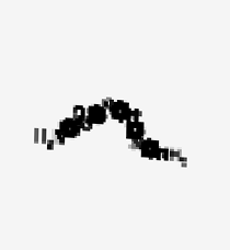 CN(C1=CCC(N(C)c2ccc(N(C)c3ccc(OC(=O)c4ccc(N)cc4)cc3)cc2)C=C1)c1ccc(N)cc1